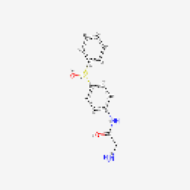 NCC(=O)Nc1ccc([S+]([O-])c2ccccc2)cc1